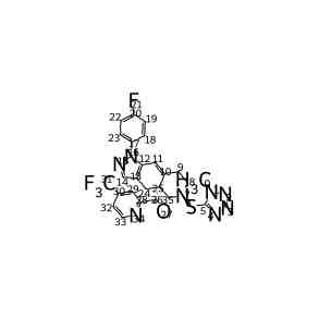 Cn1nnnc1SN1CCC2=Cc3c(cnn3-c3ccc(F)cc3)C[C@]2(C(=O)c2cc(C(F)(F)F)ccn2)C1